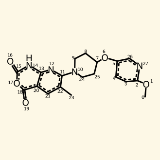 COc1ccc(OC2CCN(c3nc4[nH]c(=O)oc(=O)c4cc3C)CC2)cn1